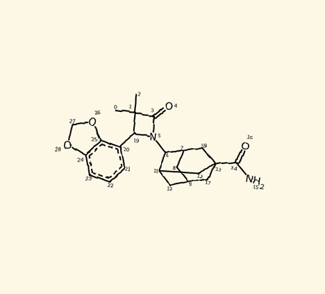 CC1(C)C(=O)N(C2C3CC4CC2CC(C(N)=O)(C4)C3)C1c1cccc2c1OCO2